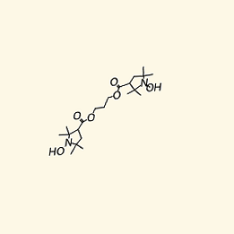 CC1(C)CC(C(=O)OCCCOC(=O)C2CC(C)(C)N(O)C2(C)C)C(C)(C)N1O